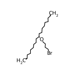 C=CCCCCCCCC(CCCCCCCC=C)OCCCCBr